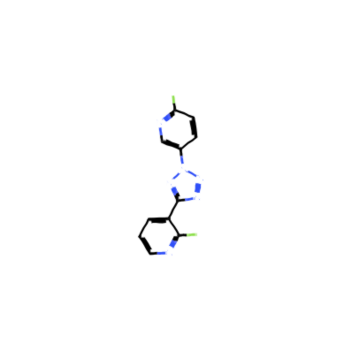 Fc1ccc(-n2nnc(-c3cccnc3F)n2)cn1